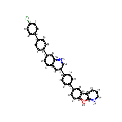 Fc1ccc(-c2ccc(-c3ccc4cc(-c5ccc(-c6ccc7oc8ncccc8c7c6)cc5)cnc4c3)cc2)cc1